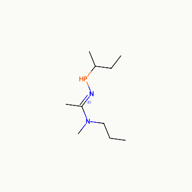 CCCN(C)/C(C)=N/PC(C)CC